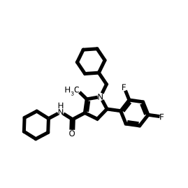 CC1=C(C(=O)NC2CCCCC2)CC(c2ccc(F)cc2F)N1CC1CCCCC1